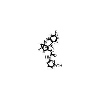 O=C(Nc1cccc(O)n1)c1nn(-c2ccc(F)cc2F)c2c1C[C@@H]1C[C@H]21